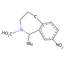 CC(C)(C)C1c2cc([N+](=O)[O-])ccc2CCCN1C(=O)O